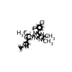 Cc1nc2nc(N3CC(C)OC(c4cnn(C5CC5)c4)C3)nc(-c3ccc(Cl)cc3F)c2nc1C